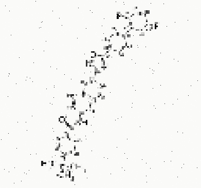 CC(C)(C)c1ccc(C(=O)NC(C=O)Cc2ccc(-c3noc(-c4ccc(-c5cc(F)ccc5F)cc4)n3)cc2)cc1